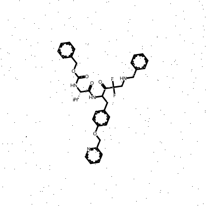 CC(C)[C@H](NC(=O)OCc1ccccc1)C(=O)NC(Cc1ccc(OCc2ccccn2)cc1)C(=O)C(F)(F)CNCc1ccccc1